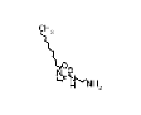 CCCCCCCCCCC(=O)N1CCC[C@H]1C(=O)NCCCN